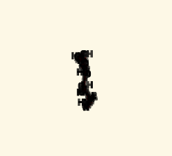 COc1cc(C(=O)NCCCCCCCC(=O)NCc2ccc3c(Oc4ccc5c(c4)N(C)[C@@H](C(C)C)C(=O)N[C@H](CO)C5)ccnc3c2)ccc1NCC#Cc1cc2c(N[C@@H]3CCN(C)C[C@@H]3F)cccc2n1CC(F)(F)F